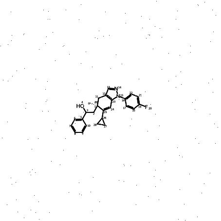 C[C@]1(CC(O)c2ccccc2)Cc2cnn(-c3ccc(F)cc3)c2C=C1C1CC1